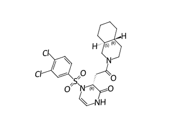 O=C1NC=CN(S(=O)(=O)c2ccc(Cl)c(Cl)c2)[C@@H]1CC(=O)N1CC[C@H]2CCCC[C@@H]2C1